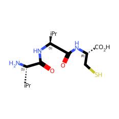 CC(C)[C@H](N)C(=O)N[C@H](C(=O)N[C@@H](CS)C(=O)O)C(C)C